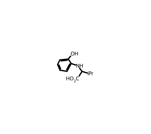 CC(C)C(Nc1ccccc1O)C(=O)O